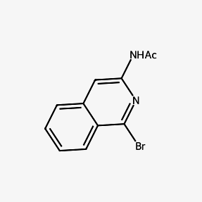 CC(=O)Nc1cc2ccccc2c(Br)n1